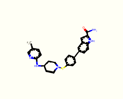 NC(=O)c1cc2cc(-c3ccc(SN4CCC(Nc5ccc(C(F)(F)F)cn5)CC4)cc3)ccc2[nH]1